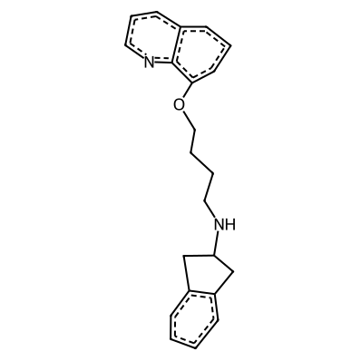 c1ccc2c(c1)CC(NCCCCOc1cccc3cccnc13)C2